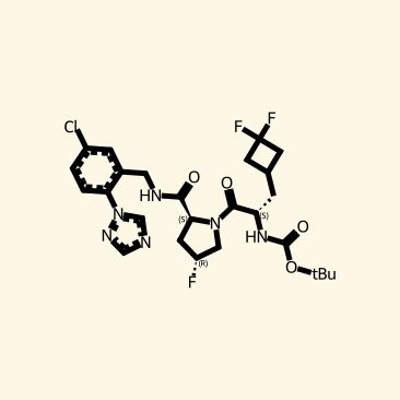 CC(C)(C)OC(=O)N[C@@H](CC1CC(F)(F)C1)C(=O)N1C[C@H](F)C[C@H]1C(=O)NCc1cc(Cl)ccc1-n1cncn1